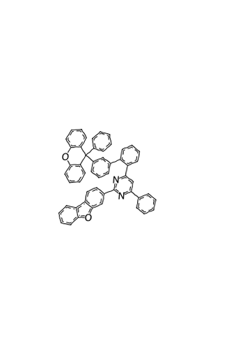 c1ccc(-c2cc(-c3ccccc3-c3cccc(C4(c5ccccc5)c5ccccc5Oc5ccccc54)c3)nc(-c3ccc4c(c3)oc3ccccc34)n2)cc1